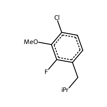 COc1c(Cl)ccc(CC(C)C)c1F